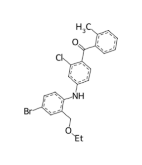 [CH2]COCc1cc(Br)ccc1Nc1ccc(C(=O)c2ccccc2C)c(Cl)c1